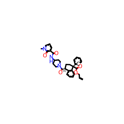 C=CCOC(=O)[C@@]1(c2ccccc2)CC[C@H](C(=O)N2CCC(NC(=O)c3cccn(C)c3=O)CC2)c2ccccc21